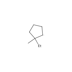 CCC1(C)[CH]CCC1